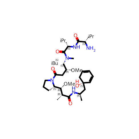 CC[C@H](C)[C@@H]([C@@H](CC(=O)N1CCC[C@H]1[C@H](OC)[C@@H](C)C(=O)N[C@H](C)C[C@]1(O)C=CC=CC1)OC)N(C)C(=O)[C@@H](NC(=O)[C@@H](N)C(C)C)C(C)C